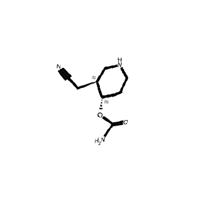 N#CC[C@H]1CNCC[C@@H]1OC(N)=O